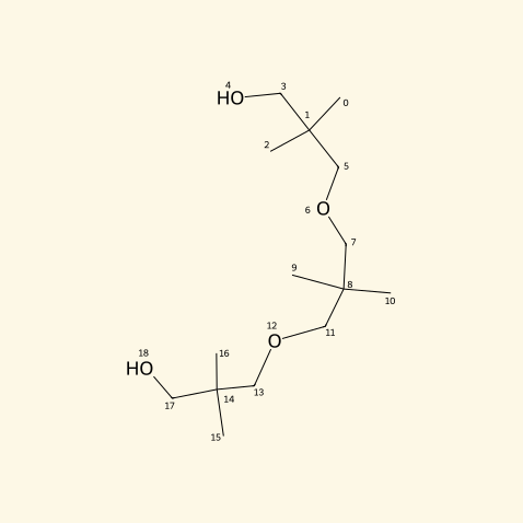 CC(C)(CO)COCC(C)(C)COCC(C)(C)CO